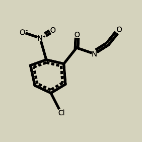 O=C=NC(=O)c1cc(Cl)ccc1[N+](=O)[O-]